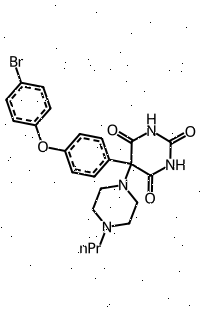 CCCN1CCN(C2(c3ccc(Oc4ccc(Br)cc4)cc3)C(=O)NC(=O)NC2=O)CC1